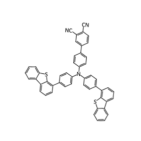 N#Cc1ccc(-c2ccc(N(c3ccc(-c4cccc5c4sc4ccccc45)cc3)c3ccc(-c4cccc5c4sc4ccccc45)cc3)cc2)cc1C#N